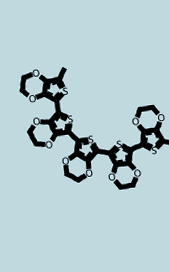 Cc1sc(-c2sc(-c3sc(-c4sc(-c5sc(C)c6c5OCCO6)c5c4OCCO5)c4c3OCCO4)c3c2OCCO3)c2c1OCCO2